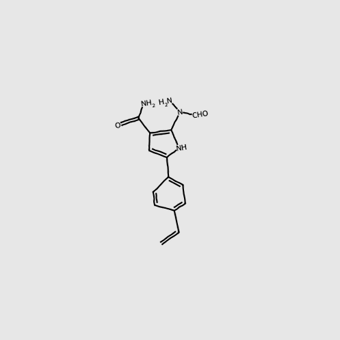 C=Cc1ccc(-c2cc(C(N)=O)c(N(N)C=O)[nH]2)cc1